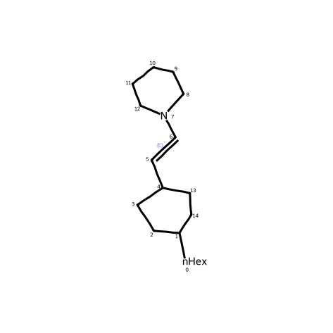 CCCCCCC1CCC(/C=C/N2CCCCC2)CC1